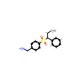 NCc1ccc(S(=O)(=O)C(CC=O)c2ccccc2)cc1